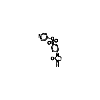 O=C1NCCN1c1ccc(S(=O)(=O)Oc2ccncc2)cc1